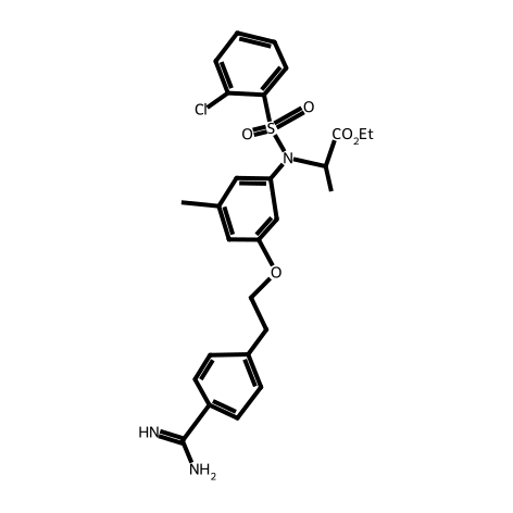 CCOC(=O)C(C)N(c1cc(C)cc(OCCc2ccc(C(=N)N)cc2)c1)S(=O)(=O)c1ccccc1Cl